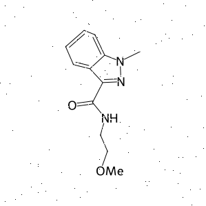 COCCNC(=O)c1nn(C)c2ccccc12